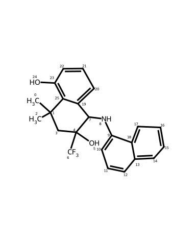 CC1(C)CC(O)(C(F)(F)F)C(Nc2cccc3ccccc23)c2cccc(O)c21